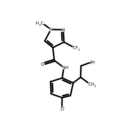 CC(C)CC(C)c1cc(Cl)ccc1NC(=O)c1cn(C)nc1C(F)(F)F